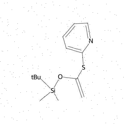 C=C(O[Si](C)(C)C(C)(C)C)Sc1ccccn1